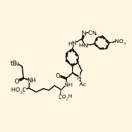 CC(=O)N1Cc2cc(NC(=NC#N)Nc3ccc([N+](=O)[O-])cc3)ccc2C1C(=O)NC(CCCCC(NC(=O)CC(C)(C)C)C(=O)O)C(=O)O